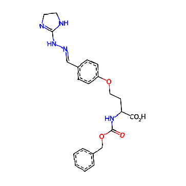 O=C(NC(CCOc1ccc(/C=N/NC2=NCCN2)cc1)C(=O)O)OCc1ccccc1